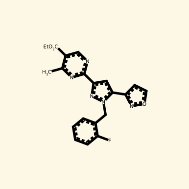 CCOC(=O)c1cnc(-c2cc(-c3ccon3)n(Cc3ccccc3F)n2)nc1C